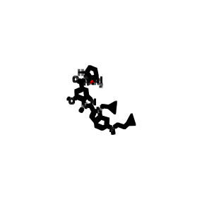 COc1cc(C(=O)N2C[C@H]3CC[C@@H]2[C@H]3N)cc2nc(-c3cc4ccc(N(C)CCC5CC5)cc4n3CC3CC3)n(C)c12